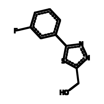 OCc1nnc(-c2cccc(F)c2)s1